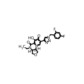 CCN1C(=O)c2c(O)c(=O)c(-c3cn(Cc4ccc(F)cc4F)nn3)cn2[C@H]2COC[C@H]21